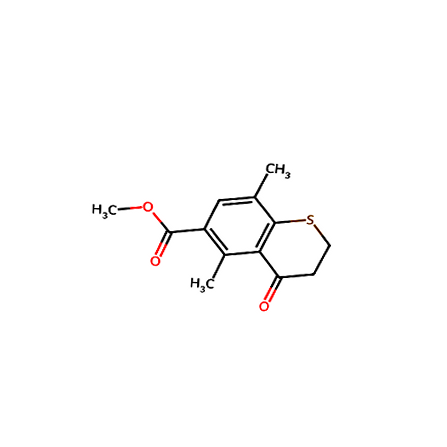 COC(=O)c1cc(C)c2c(c1C)C(=O)CCS2